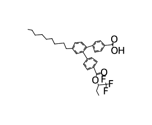 CCCCCCCCCc1ccc(-c2ccc(C(=O)O)cc2)c(-c2ccc(C(=O)OC(CC)C(F)(F)F)cc2)c1